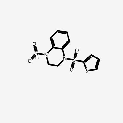 O=[SH](=O)N1CCN(S(=O)(=O)c2cccs2)c2ccccc21